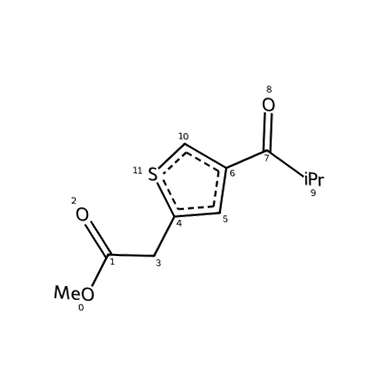 COC(=O)Cc1cc(C(=O)C(C)C)cs1